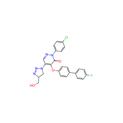 O=c1c(Oc2ccc(-c3ccc(F)cc3)cc2)c(N2CC(CO)N=N2)cnn1-c1ccc(Cl)cc1